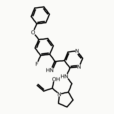 C=CC(O)N1CCCC1CNc1ncncc1C(=N)c1ccc(Oc2ccccc2)cc1F